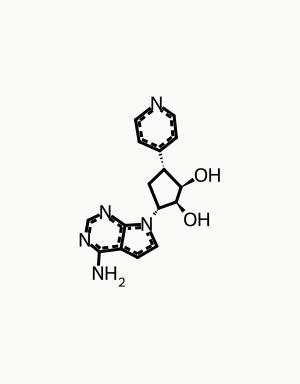 Nc1ncnc2c1ccn2[C@@H]1C[C@H](c2ccncc2)[C@@H](O)[C@H]1O